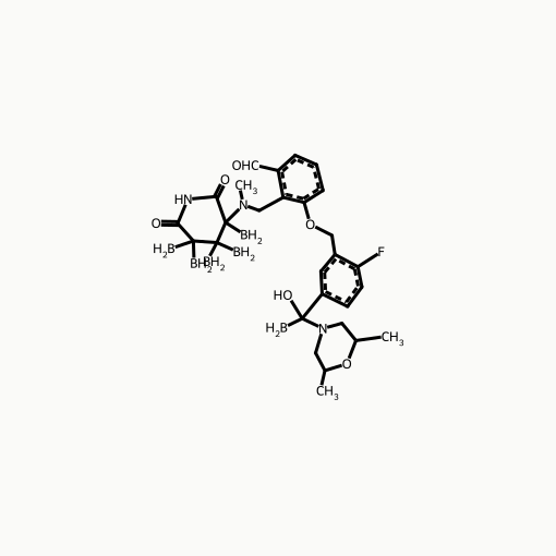 BC(O)(c1ccc(F)c(COc2cccc(C=O)c2CN(C)C2(B)C(=O)NC(=O)C(B)(B)C2(B)B)c1)N1CC(C)OC(C)C1